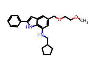 COCCOCc1cc(NCC2CCCC2)c2[nH]c(-c3ccccc3)cc2c1